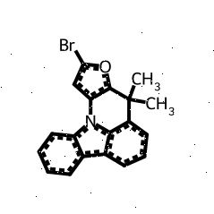 CC1(C)c2oc(Br)cc2-n2c3ccccc3c3cccc1c32